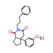 CCOc1cccc(C23CCCC2C(=O)N(CCCc2ccccc2)C(=O)C3)c1